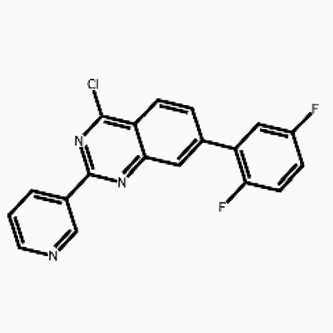 Fc1ccc(F)c(-c2ccc3c(Cl)nc(-c4cccnc4)nc3c2)c1